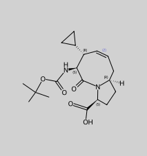 CC(C)(C)OC(=O)N[C@@H]1C(=O)N2[C@@H](C/C=C\[C@H]1C1CC1)CC[C@H]2C(=O)O